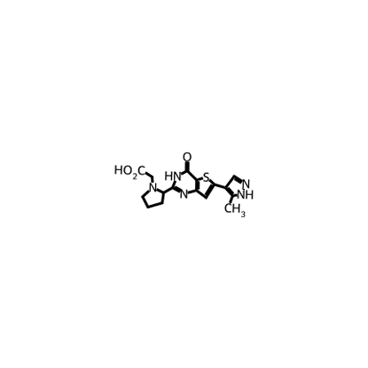 Cc1[nH]ncc1-c1cc2nc(C3CCCN3CC(=O)O)[nH]c(=O)c2s1